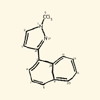 ClC(Cl)(Cl)n1ccc(-c2cccc3ccccc23)n1